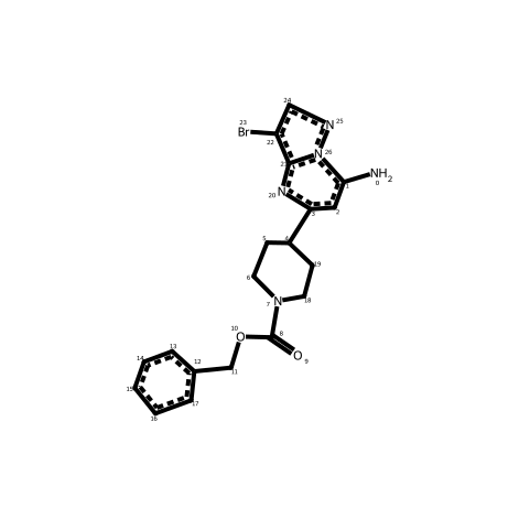 Nc1cc(C2CCN(C(=O)OCc3ccccc3)CC2)nc2c(Br)cnn12